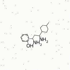 CC1CCC([C@@H](N)CC(N)c2ccccc2O)CC1